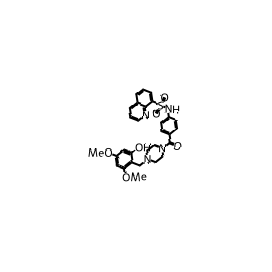 COc1cc(O)c(CN2CCN(C(=O)c3ccc(NS(=O)(=O)c4cccc5cccnc45)cc3)CC2)c(OC)c1